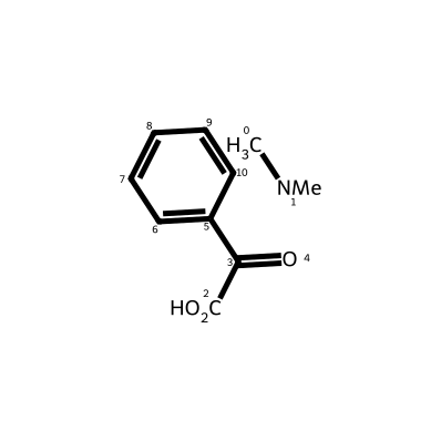 CNC.O=C(O)C(=O)c1ccccc1